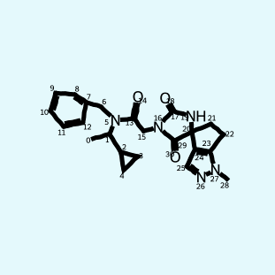 CC(C1CC1)N(Cc1ccccc1)C(=O)CN1C(=O)NC2(CCc3c2cnn3C)C1=O